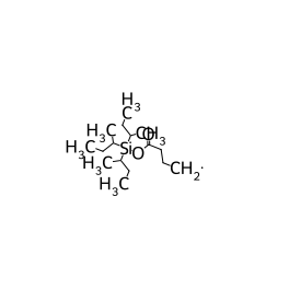 [CH2]CCC(=O)O[Si](C(C)CC)(C(C)CC)C(C)CC